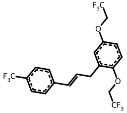 FC(F)(F)COc1ccc(OCC(F)(F)F)c(CC=Cc2ccc(C(F)(F)F)cc2)c1